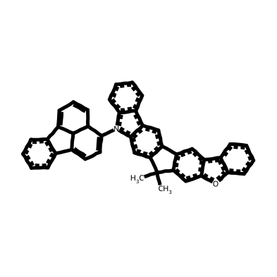 CC1(C)c2cc3oc4ccccc4c3cc2-c2cc3c4ccccc4n(C4=CC=C5c6ccccc6C6=CC=CC4C65)c3cc21